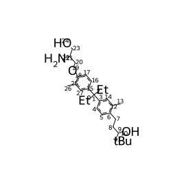 CCC(CC)(c1ccc(CCC(O)C(C)(C)C)c(C)c1)c1ccc(OCC(N)CO)c(C)c1